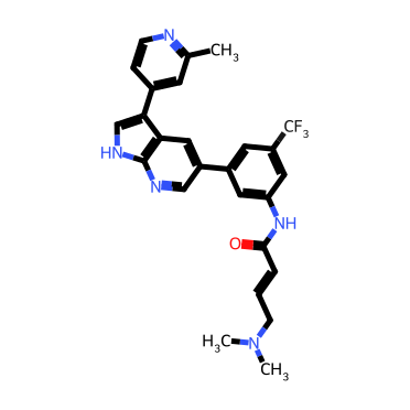 Cc1cc(-c2c[nH]c3ncc(-c4cc(NC(=O)/C=C/CN(C)C)cc(C(F)(F)F)c4)cc23)ccn1